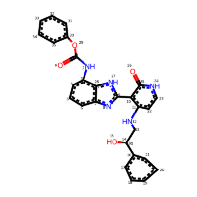 O=C(Nc1cccc2nc(-c3c(NC[C@H](O)c4ccccc4)cc[nH]c3=O)[nH]c12)Oc1ccccc1